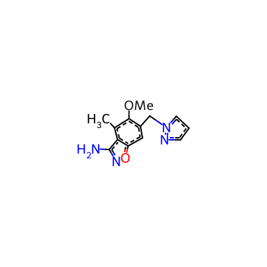 COc1c(Cn2cccn2)cc2onc(N)c2c1C